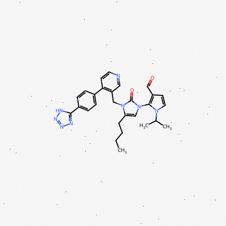 CCCCc1cn(-c2c(C=O)ccn2C(C)C)c(=O)n1Cc1cnccc1-c1ccc(-c2nnn[nH]2)cc1